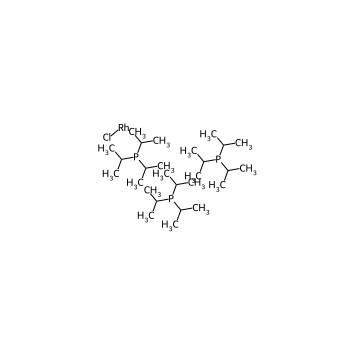 CC(C)P(C(C)C)C(C)C.CC(C)P(C(C)C)C(C)C.CC(C)P(C(C)C)C(C)C.[Cl][Rh]